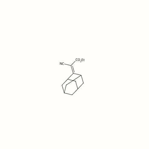 CCOC(=O)C(C#N)=C1C2CC3CC(C2)CC1C3